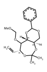 C=C[C@H]1OC(C)(C)O[C@@H]2COC(c3ccccc3)O[C@H]2C1OCOC